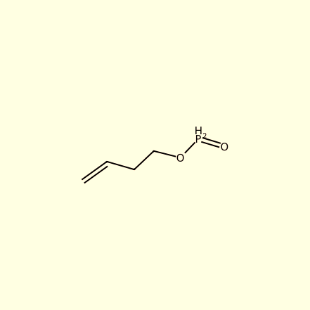 C=CCCO[PH2]=O